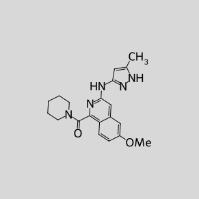 COc1ccc2c(C(=O)N3CCCCC3)nc(Nc3cc(C)[nH]n3)cc2c1